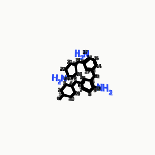 CC1CCC(Cc2ccc(N)c(Cc3ccc(N)c(CC4CCC(N)CC4)c3)c2)CC1